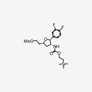 COCC[C@@H]1C[C@@H](NC(=O)OCC[Si](C)(C)C)[C@H](c2ccc(F)c(F)c2)O1